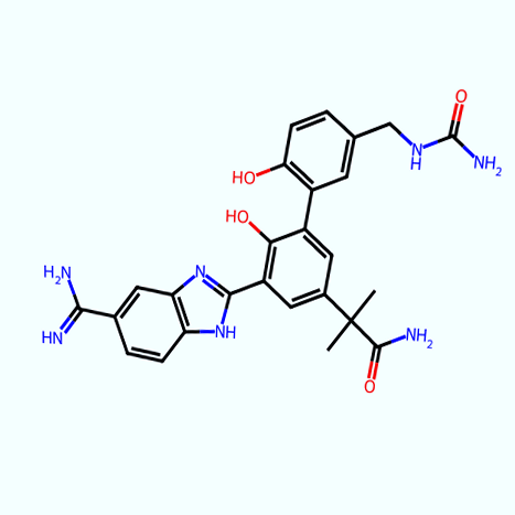 CC(C)(C(N)=O)c1cc(-c2nc3cc(C(=N)N)ccc3[nH]2)c(O)c(-c2cc(CNC(N)=O)ccc2O)c1